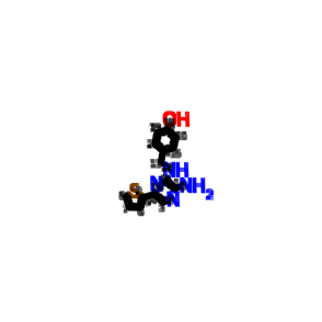 Nc1ncc(-c2cccs2)nc1NCc1ccc(O)cc1